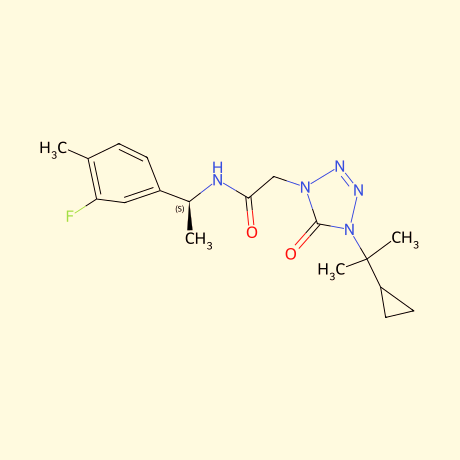 Cc1ccc([C@H](C)NC(=O)Cn2nnn(C(C)(C)C3CC3)c2=O)cc1F